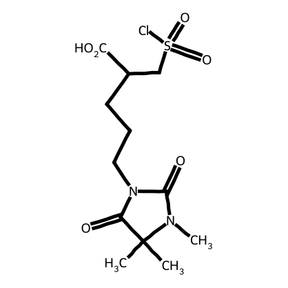 CN1C(=O)N(CCCC(CS(=O)(=O)Cl)C(=O)O)C(=O)C1(C)C